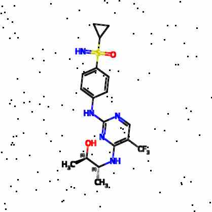 C[C@@H](O)[C@@H](C)Nc1nc(Nc2ccc(S(=N)(=O)C3CC3)cc2)ncc1C(F)(F)F